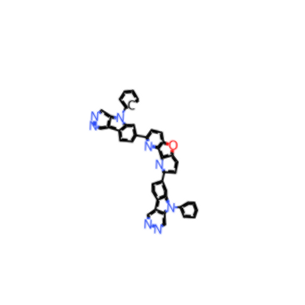 c1ccc(-n2c3cnncc3c3ccc(-c4ccc5oc6ccc(-c7ccc8c9cnncc9n(-c9ccccc9)c8c7)nc6c5n4)cc32)cc1